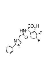 O=C(Cc1csc(-c2ccccc2)n1)NC(C(=O)O)c1ccc(F)c(F)c1